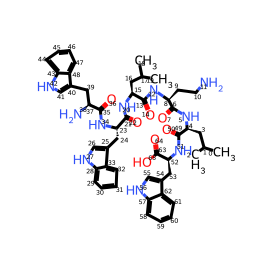 CC(C)C[C@H](NC(=O)[C@H](CCN)NC(=O)[C@H](CC(C)C)NC(=O)[C@H](Cc1c[nH]c2ccccc12)NC(=O)[C@@H](N)Cc1c[nH]c2ccccc12)C(=O)N[C@@H](Cc1c[nH]c2ccccc12)C(=O)O